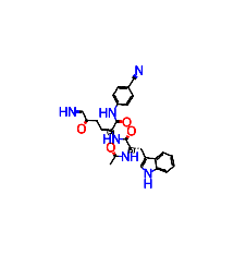 CC(=O)N[C@@H](Cc1c[nH]c2ccccc12)C(=O)N[C@@H](CCC(=O)C=N)C(=O)Nc1ccc(C#N)cc1